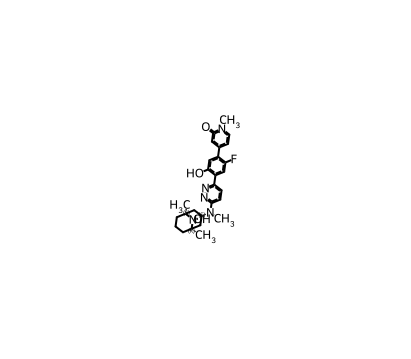 CN(c1ccc(-c2cc(F)c(-c3ccn(C)c(=O)c3)cc2O)nn1)[C@H]1C[C@]2(C)CCC[C@](C)(C1)N2O